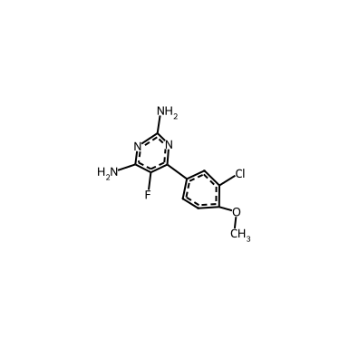 COc1ccc(-c2nc(N)nc(N)c2F)cc1Cl